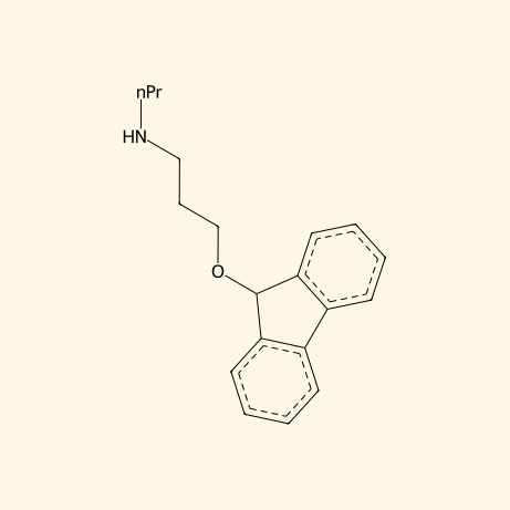 CCCNCCCOC1c2ccccc2-c2ccccc21